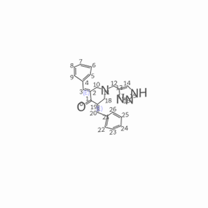 O=C1/C(=C/c2ccccc2)CN(Cc2c[nH]nn2)C/C1=C\c1ccccc1